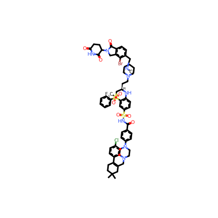 CC1(C)CCC(c2ccc(Cl)cc2)=C(CN2CCN(c3ccc(C(=O)NS(=O)(=O)c4ccc(N[C@H](CCN5CC6CCC5CN6Cc5ccc6c(c5Br)CN(C5CCC(=O)NC5=O)C6=O)CSc5ccccc5)c(S(=O)(=O)C(F)(F)F)c4)cc3)CC2)C1